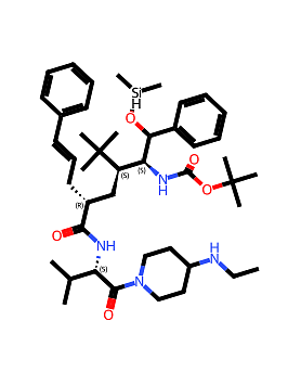 CCNC1CCN(C(=O)[C@@H](NC(=O)[C@H](CC=Cc2ccccc2)C[C@H]([C@H](NC(=O)OC(C)(C)C)C(O[SiH](C)C)c2ccccc2)C(C)(C)C)C(C)C)CC1